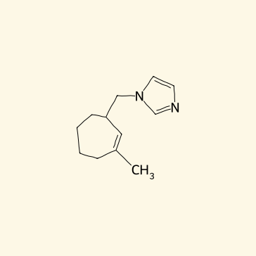 CC1=CC(Cn2ccnc2)CCCC1